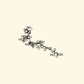 CC(C)(COP(=O)(O)OP(=O)(O)OC[C@H]1O[C@H](n2cnc3c(N)ncnc32)[C@H](O)[C@@H]1OP(=O)(O)O)[C@@H](O)C(=O)NCCC(=O)NCCSC(=O)C(O)CC(=O)O